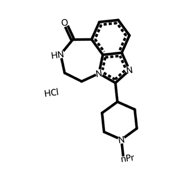 CCCN1CCC(c2nc3cccc4c3n2CCNC4=O)CC1.Cl